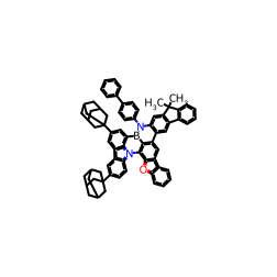 CC1(C)c2ccccc2-c2cc3c(cc21)N(c1ccc(-c2ccccc2)cc1)B1c2c-3cc3c(oc4ccccc43)c2-n2c3ccc(C45CC6CC(CC(C6)C4)C5)cc3c3cc(C45CC6CC(CC(C6)C4)C5)cc1c32